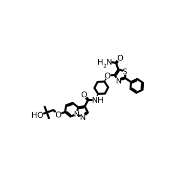 CC(C)(O)COc1ccc2c(C(=O)N[C@H]3CC[C@H](Oc4nc(-c5ccccc5)sc4C(N)=O)CC3)cnn2c1